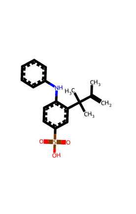 C=C(C)C(C)(C)c1cc(S(=O)(=O)O)ccc1Nc1ccccc1